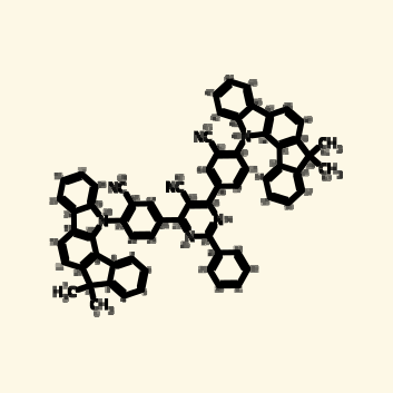 CC1(C)c2ccccc2-c2c1ccc1c3ccccc3n(-c3ccc(-c4nc(-c5ccccc5)nc(-c5ccc(-n6c7ccccc7c7ccc8c(c76)-c6ccccc6C8(C)C)c(C#N)c5)c4C#N)cc3C#N)c21